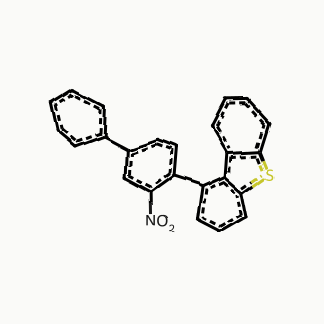 O=[N+]([O-])c1cc(-c2ccccc2)ccc1-c1cccc2sc3ccccc3c12